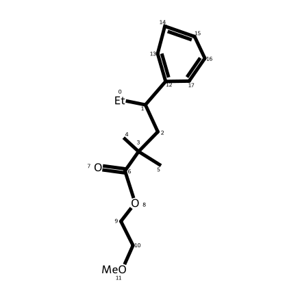 CCC(CC(C)(C)C(=O)OCCOC)c1ccccc1